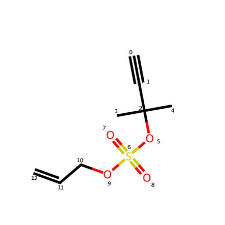 C#CC(C)(C)OS(=O)(=O)OCC=C